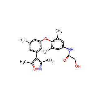 Cc1cc(Oc2c(C)cc(NC(=O)CO)cc2C)cc(-c2c(C)noc2C)c1